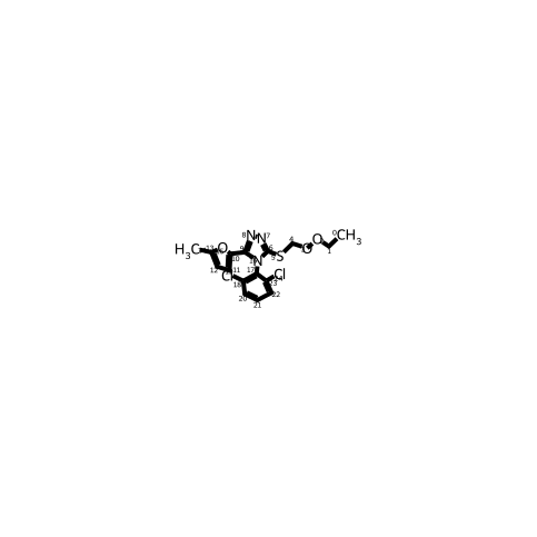 CCOOCSc1nnc(-c2ccc(C)o2)n1-c1c(Cl)cccc1Cl